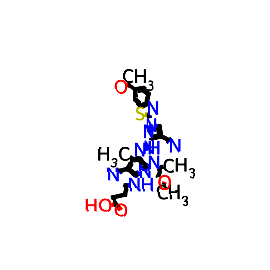 COCC(C)Nc1nc(NCCCC(=O)O)c(C#N)c(C)c1N=Nc1nn(-c2nc3ccc(C(C)=O)cc3s2)cc1C#N